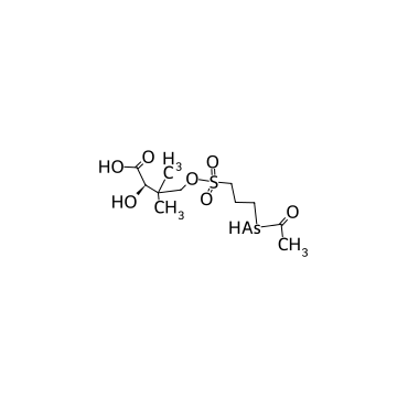 CC(=O)[AsH]CCCS(=O)(=O)OCC(C)(C)[C@@H](O)C(=O)O